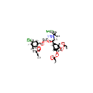 CC(=O)Oc1ccc(C(O)CNC(C)(C)C)cc1OC(C)=O.CCOc1ccc(Br)cc1OCC.Cl